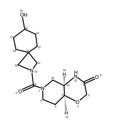 O=C1CO[C@H]2CCN(C(=O)N3CC4(CCC(O)CC4)C3)C[C@H]2N1